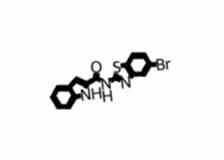 O=C(Nc1nc2cc(Br)ccc2s1)c1cc2ccccc2[nH]1